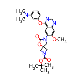 COc1cc2ncnc(Oc3cccc(N(C)C)c3)c2cc1N1CC2(CN(C(=O)OC(C)(C)C)C2)OC1=O